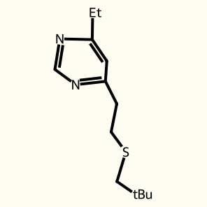 CCc1cc(CCSCC(C)(C)C)ncn1